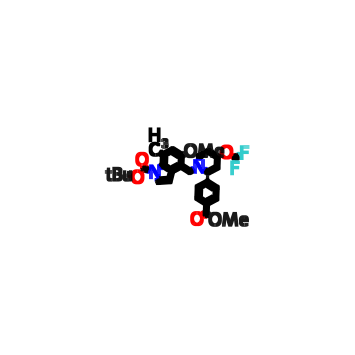 COC(=O)c1ccc([C@H]2C[C@H](OC(F)F)CCN2Cc2c(OC)cc(C)c3c2ccn3C(=O)OC(C)(C)C)cc1